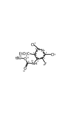 CCOC(=O)c1c(Cl)nc(Cl)c(F)c1NC(=O)OC(C)(C)C